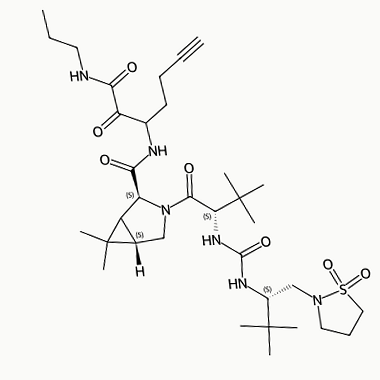 C#CCCC(NC(=O)[C@@H]1C2[C@H](CN1C(=O)[C@@H](NC(=O)N[C@H](CN1CCCS1(=O)=O)C(C)(C)C)C(C)(C)C)C2(C)C)C(=O)C(=O)NCCC